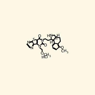 COCCn1c(=O)n(CCC2NC[C@@H]3CCc4c(OC)cccc4[C@H]23)c(=O)c2sc3nccnc3c21.Cl